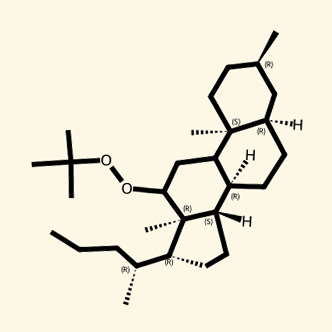 CCC[C@@H](C)[C@H]1CC[C@H]2[C@@H]3CC[C@@H]4C[C@H](C)CC[C@]4(C)C3CC(OOC(C)(C)C)[C@]12C